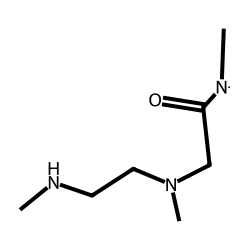 C[N]C(=O)CN(C)CCNC